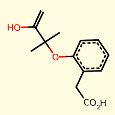 C=C(O)C(C)(C)Oc1ccccc1CC(=O)O